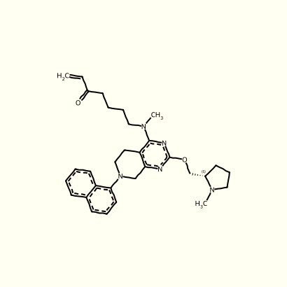 C=CC(=O)CCCCN(C)c1nc(OC[C@@H]2CCCN2C)nc2c1CCN(c1cccc3ccccc13)C2